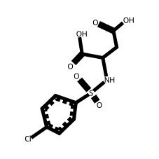 O=C(O)CC(NS(=O)(=O)c1ccc(Cl)cc1)C(=O)O